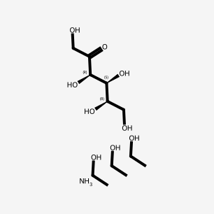 CCO.CCO.CCO.N.O=C(CO)[C@H](O)[C@@H](O)[C@H](O)CO